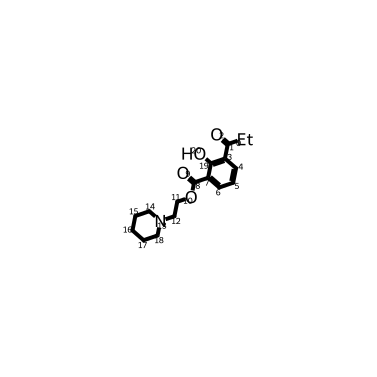 CCC(=O)c1cccc(C(=O)OCCN2CCCCC2)c1O